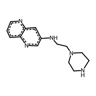 c1cnc2cc(NCCN3CCNCC3)cnc2c1